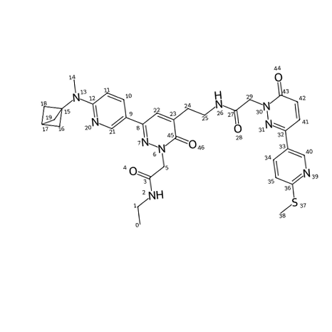 CCNC(=O)Cn1nc(-c2ccc(N(C)C34CC(C3)C4)nc2)cc(CCNC(=O)Cn2nc(-c3ccc(SC)nc3)ccc2=O)c1=O